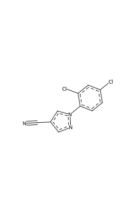 N#Cc1cnn(-c2ccc(Cl)cc2Cl)c1